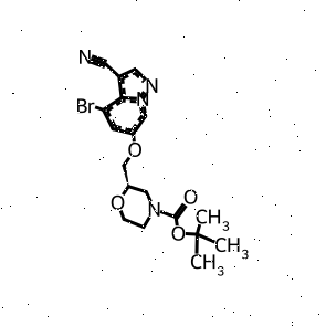 CC(C)(C)OC(=O)N1CCO[C@@H](COc2cc(Br)c3c(C#N)cnn3c2)C1